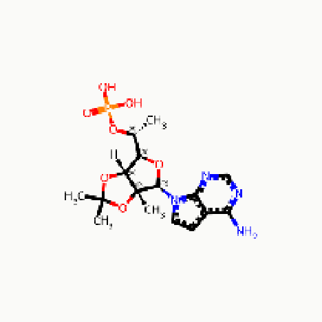 C[C@@H](OP(=O)(O)O)[C@H]1O[C@@H](n2ccc3c(N)ncnc32)[C@]2(C)OC(C)(C)O[C@H]12